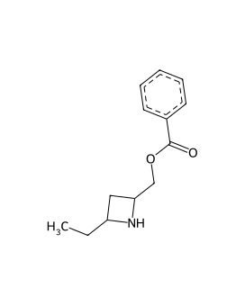 CCC1CC(COC(=O)c2ccccc2)N1